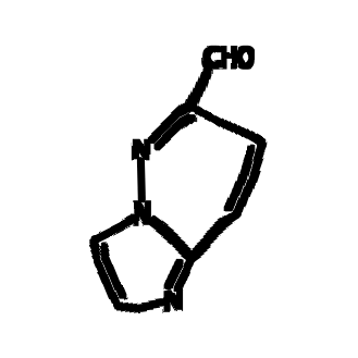 O=Cc1ccc2nccn2n1